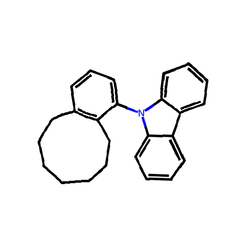 c1cc2c(c(-n3c4ccccc4c4ccccc43)c1)CCCCCCC2